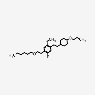 CCCCCCOCCc1cc(CC)c(CCC2CCC(OCCC)CC2)cc1F